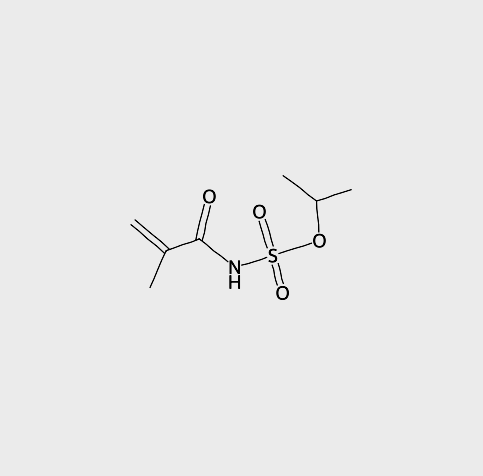 C=C(C)C(=O)NS(=O)(=O)OC(C)C